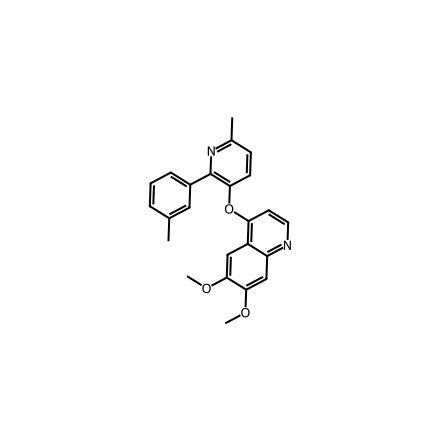 COc1cc2nccc(Oc3ccc(C)nc3-c3cccc(C)c3)c2cc1OC